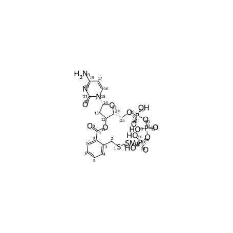 CSSCc1ccccc1C(=O)OC1C[C@H](n2ccc(N)nc2=O)O[C@@H]1COP(=O)(O)OP(=O)(O)OP(=O)(O)O